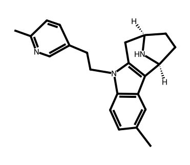 Cc1ccc2c(c1)c1c(n2CCc2ccc(C)nc2)C[C@H]2CC[C@@H]1N2